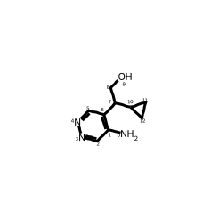 Nc1cnncc1C(CO)C1CC1